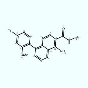 CCCNC(=O)c1nnc2c(-c3ccc(F)cc3OC)cccc2c1N